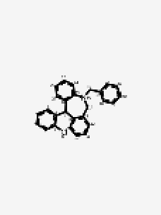 Clc1ccccc1C1c2ccccc2CN(Cc2ccccc2)c2ccccc21